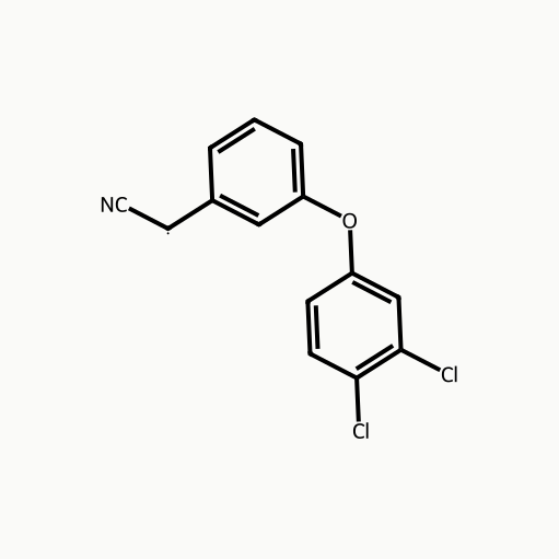 N#C[CH]c1cccc(Oc2ccc(Cl)c(Cl)c2)c1